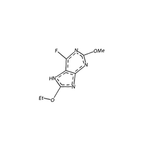 CCOc1nc2nc(OC)nc(F)c2[nH]1